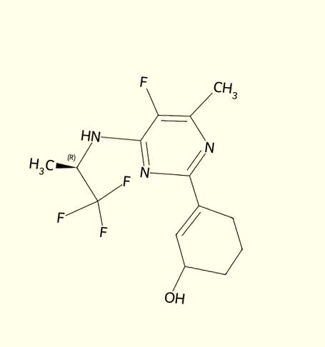 Cc1nc(C2=CC(O)CCC2)nc(N[C@H](C)C(F)(F)F)c1F